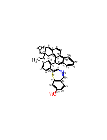 CCC1(CC)CC=c2ccc3c(c2C1)C(c1ccccc1C1=CN=Cc2ccc(O)cc2S1)C=c1ccccc1=3